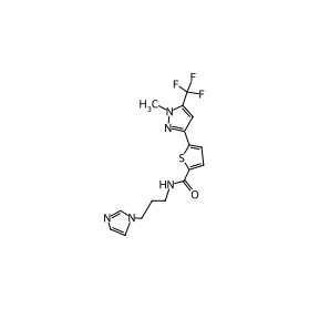 Cn1nc(-c2ccc(C(=O)NCCCn3ccnc3)s2)cc1C(F)(F)F